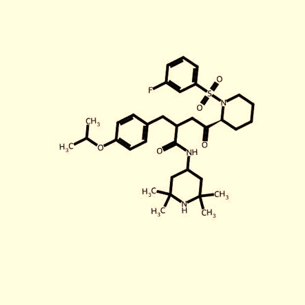 CC(C)Oc1ccc(CC(CC(=O)[C@@H]2CCCCN2S(=O)(=O)c2cccc(F)c2)C(=O)NC2CC(C)(C)NC(C)(C)C2)cc1